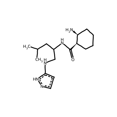 CC(C)CC(CNc1ccn[nH]1)NC(=O)[C@@H]1CCCC[C@@H]1N